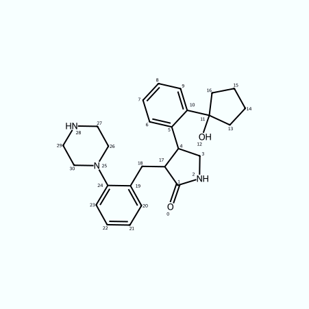 O=C1NCC(c2ccccc2C2(O)CCCC2)C1Cc1ccccc1N1CCNCC1